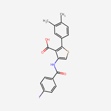 Cc1ccc(-c2scc(NC(=O)c3ccc(I)cc3)c2C(=O)O)cc1C